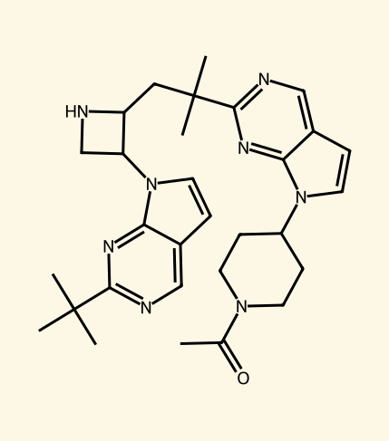 CC(=O)N1CCC(n2ccc3cnc(C(C)(C)CC4NCC4n4ccc5cnc(C(C)(C)C)nc54)nc32)CC1